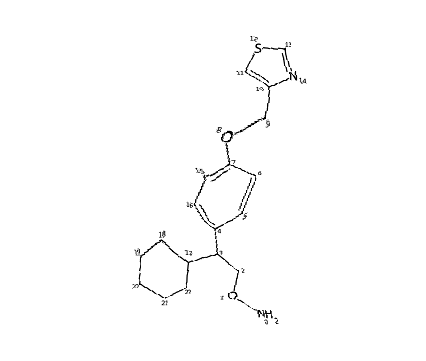 NOCC(c1ccc(OCc2cscn2)cc1)C1CCCCC1